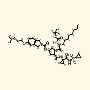 CCCCCCCC[C@H](NC(=O)OC(C)(C)C)C(=O)N1C[C@H](OC(=O)N2Cc3ccc(OCCNC(C)C)cc3C2)CC1C(=O)NC1(C(=O)NS(=O)(=O)C2CC2)CC1